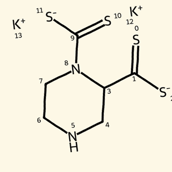 S=C([S-])C1CNCCN1C(=S)[S-].[K+].[K+]